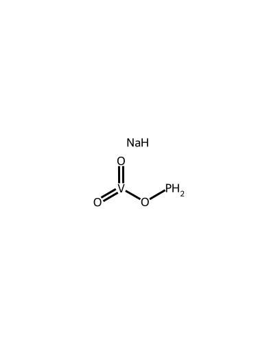 [NaH].[O]=[V](=[O])[O]P